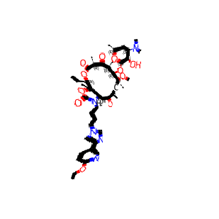 CCOc1ccc(-c2cn(CCCCN3C(=O)O[C@]4(C)[C@@H](CC)OC(=O)[C@H](C)C(=O)[C@H](C)[C@@H](O[C@@H]5O[C@H](C)C[C@H](N(C)C)[C@H]5O)[C@@](C)(OC)C[C@@H](C)C(=O)[C@H](C)[C@@H]34)cn2)cn1